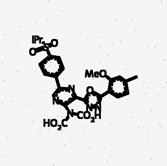 COc1cc(C)ccc1-c1nnc(-c2nc(-c3ccc(S(=O)(=O)C(C)C)cc3)cnc2N(C(=O)O)C(=O)O)o1